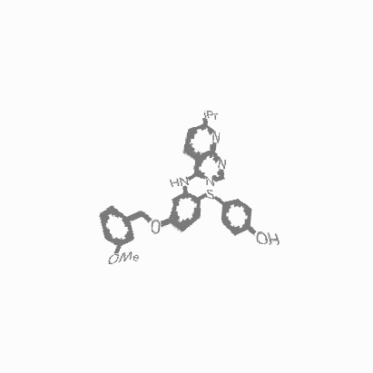 COc1cccc(COc2ccc(Sc3ccc(O)cc3)c(Nc3ncnc4nc(C(C)C)ccc34)c2)c1